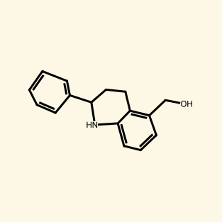 OCc1cccc2c1CCC(c1ccccc1)N2